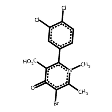 Cc1c(Br)c(=O)c(C(=O)O)c(-c2ccc(Cl)c(Cl)c2)n1C